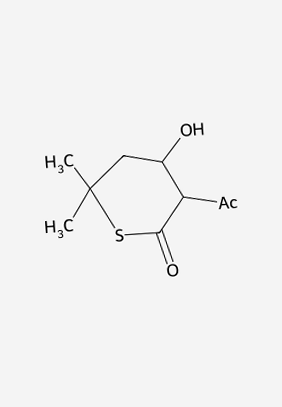 CC(=O)C1C(=O)SC(C)(C)CC1O